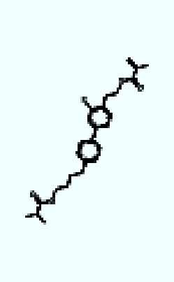 C=C(C)C(=O)OCCc1ccc(-c2ccc(CCCCOC(=O)C(C)C)cc2)cc1F